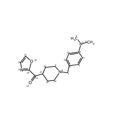 CN(C)c1ccc(CN2CCC(C(=O)c3ncco3)CC2)cc1